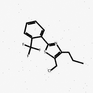 CCCc1nc(-c2ccccc2C(F)(F)F)sc1CCl